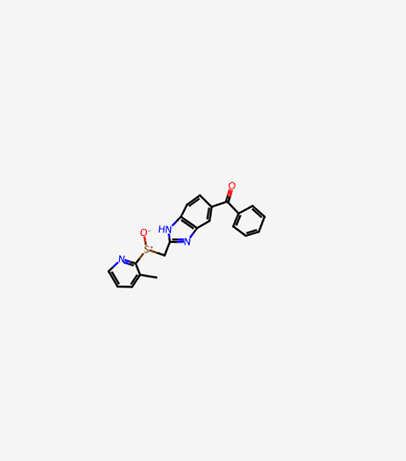 Cc1cccnc1[S+]([O-])Cc1nc2cc(C(=O)c3ccccc3)ccc2[nH]1